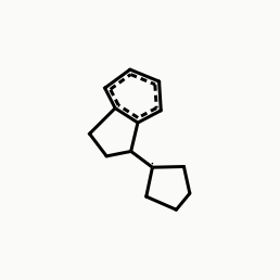 c1ccc2c(c1)CCC2[C]1CCCC1